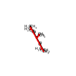 CC(C)CCC(CCCCCOC(=O)CCCCCCCP(CCCCCCCC(=O)OCCCC(CCC(C)C)C(C)C)CCCCN(C)C)C(C)C